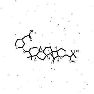 CC(=O)O[C@@H]([C@H]1C[C@@H](C)[C@H]2[C@H](O1)C(=O)[C@@]1(C)[C@@H]3CC[C@H]4C(C)(C)[C@@H](O[C@H]5CN(CC(N)=O)CCO5)CC[C@@]45C[C@@]35CC[C@]21C)C(C)(C)O